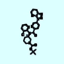 CC(C)(C)OC(=O)N1CCC[C@@H](N(C(=O)c2ccc(-n3nnc4cccnc43)cn2)c2ncccc2Cl)C1